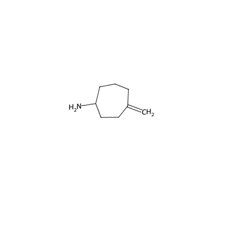 C=C1CCCC(N)CC1